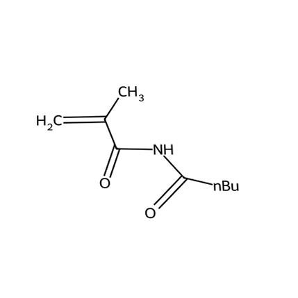 C=C(C)C(=O)NC(=O)CCCC